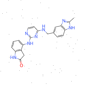 Cc1nc2cc(CNc3ccnc(Nc4cccc5c4CC(=O)N5)n3)ccc2[nH]1